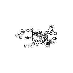 COc1ccc(C(OCC2OC(n3cnc4c(=O)[nH]c(NC(=O)CCNC(=O)c5ccc(CNC(=O)OCC6c7ccccc7-c7ccccc76)cc5)nc43)CC2OP(OCCC#N)OCC2OC(n3ccc(NC(=O)CCCN(C)C(=O)OCC4c5ccccc5-c5ccccc54)nc3=O)CC2OP(OCCC#N)N(C(C)C)C(C)C)(c2ccccc2)c2ccc(OC)cc2)cc1